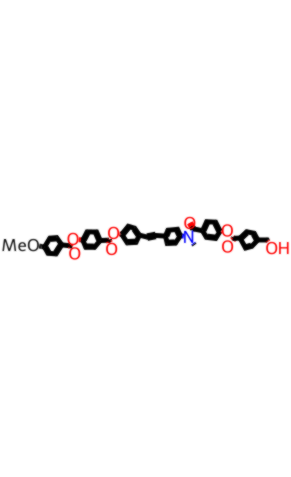 COc1ccc(C(=O)Oc2ccc(C(=O)Oc3ccc(C#Cc4ccc(N(C)C(=O)c5ccc(OC(=O)c6ccc(CO)cc6)cc5)cc4)cc3)cc2)cc1